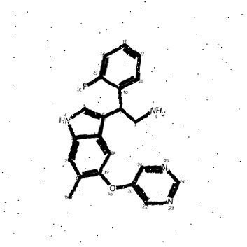 Cc1cc2[nH]cc(C(CN)c3ccccc3F)c2cc1Oc1cncnc1